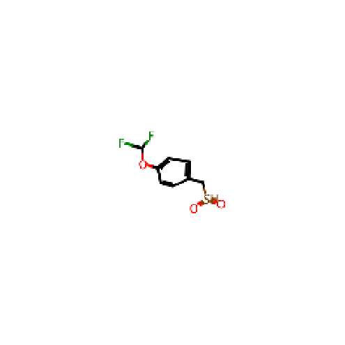 O=[SH](=O)Cc1ccc(OC(F)F)cc1